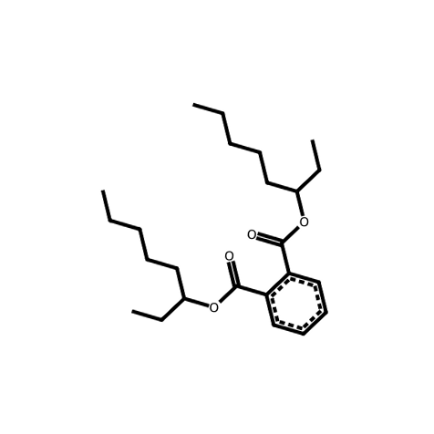 CCCCCC(CC)OC(=O)c1ccccc1C(=O)OC(CC)CCCCC